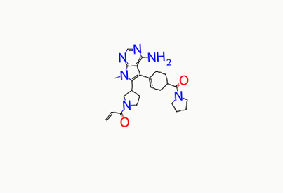 C=CC(=O)N1CCC(c2c(C3=CCC(C(=O)N4CCCC4)CC3)c3c(N)ncnc3n2C)C1